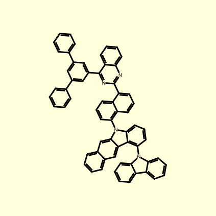 c1ccc(-c2cc(-c3ccccc3)cc(-c3nc(-c4cccc5c(-n6c7cc8ccccc8cc7c7c(-n8c9ccccc9c9ccccc98)cccc76)cccc45)nc4ccccc34)c2)cc1